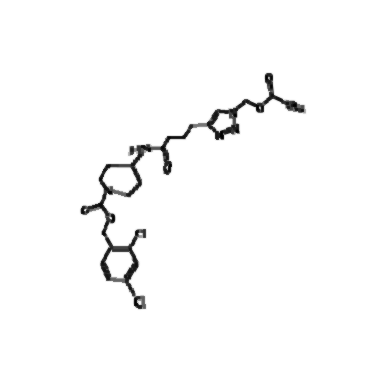 CC(C)(C)C(=O)OCn1cc(CCCC(=O)NC2CCN(C(=O)OCc3ccc(Cl)cc3Cl)CC2)nn1